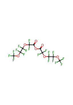 O=C(OC(=O)C(F)(F)OC(F)(F)C(F)(F)OC(F)(F)F)C(F)(F)OC(F)(F)C(F)(F)OC(F)(F)F